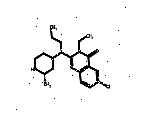 CCC[C@@H](c1nc2ccc(Cl)cc2c(=O)n1CC)N1CCN[C@@H](C)C1